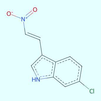 O=[N+]([O-])/C=C/c1c[nH]c2cc(Cl)ccc12